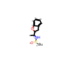 CC(N[S@+]([O-])C(C)(C)C)C1Cc2ccccc2O1